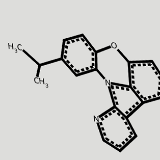 CC(C)c1ccc2c(c1)-n1c3ncccc3c3cccc(c31)O2